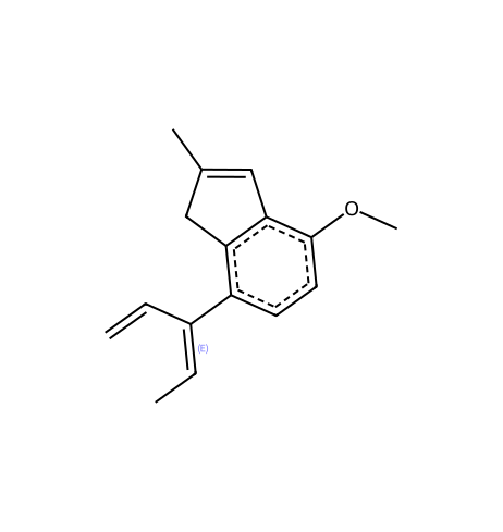 C=C/C(=C\C)c1ccc(OC)c2c1CC(C)=C2